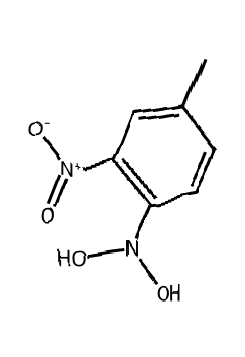 Cc1ccc(N(O)O)c([N+](=O)[O-])c1